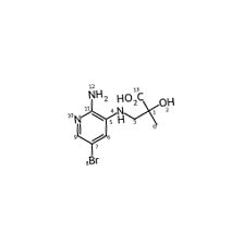 CC(O)(CNc1cc(Br)cnc1N)C(=O)O